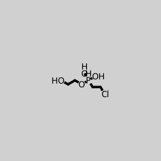 OCCO[PH](O)(O)CCCl